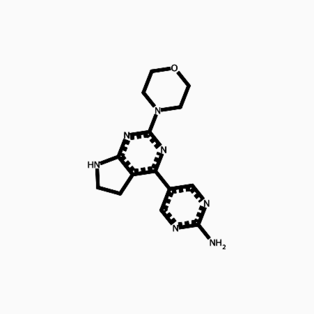 Nc1ncc(-c2nc(N3CCOCC3)nc3c2CCN3)cn1